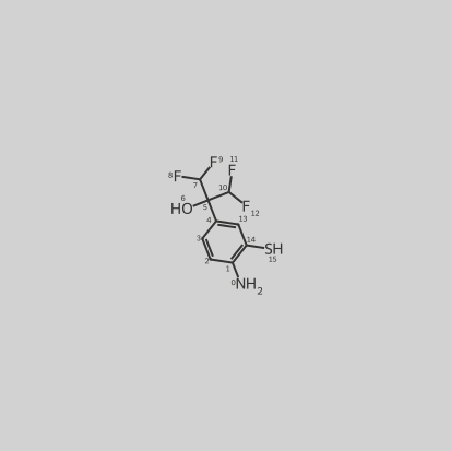 Nc1ccc(C(O)(C(F)F)C(F)F)cc1S